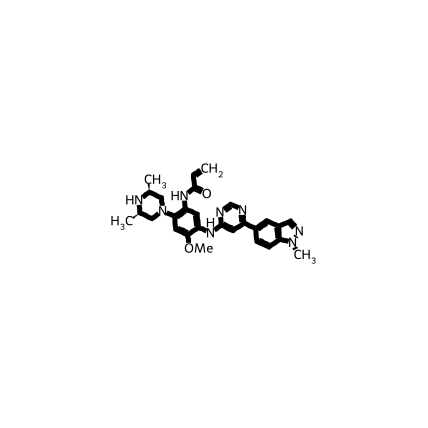 C=CC(=O)Nc1cc(Nc2cc(-c3ccc4c(cnn4C)c3)ncn2)c(OC)cc1N1C[C@@H](C)N[C@@H](C)C1